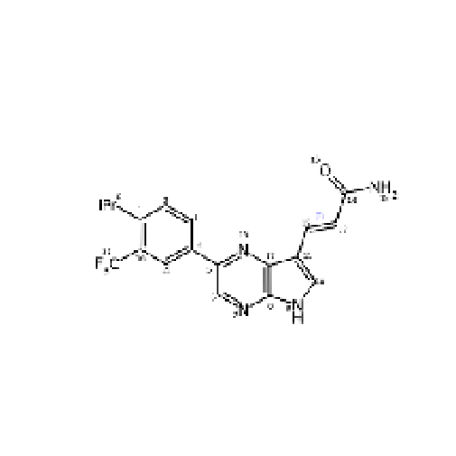 CC(C)c1ccc(-c2cnc3[nH]cc(/C=C/C(N)=O)c3n2)cc1C(F)(F)F